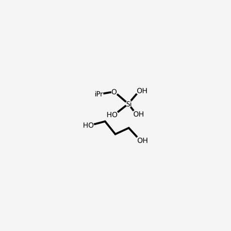 CC(C)O[Si](O)(O)O.OCCCO